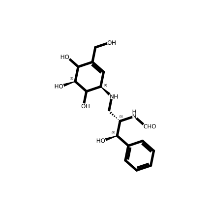 O=CN[C@@H](CN[C@@H]1C=C(CO)C(O)[C@H](O)C1O)[C@H](O)c1ccccc1